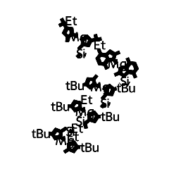 CC1=Cc2c(C)ccc(C)c2[CH]1[Mg][C]1=C(C)C(=[Si](C)C)c2c(C)ccc(C)c21.CC1C=C(C(C)(C)C)C=[C]1[Mg][C]1=CC(C(C)(C)C)=CC1C=[Si](C)C.CCC(C)(C)C1=CC(C)[C]([Mg][C]2=CC(C(C)(C)CC)=CC2C=[Si](C)C)=C1.CCC1C=C(C(C)(C)C)C=[C]1[Mg][C]1=CC(C(C)(C)C)=CC1C(C)=[Si](C)C.CC[Si](=CC1C=C(C(C)(C)C)C=[C]1[Mg][C]1=CC(C(C)(C)C)=CC1C)CC